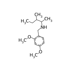 CCC(C)C(C)NCc1ccc(OC)cc1OC